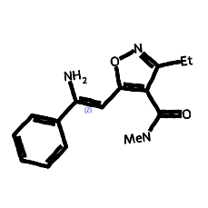 CCc1noc(/C=C(\N)c2ccccc2)c1C(=O)NC